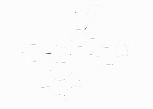 O=C(O)N1CCOC[C@H]1c1ccccc1Cn1c(=S)[nH]c(=O)c2[nH]ccc21.O=c1[nH]c(=S)n(Cc2ccccc2[C@@H]2COCCN2)c2cc[nH]c12